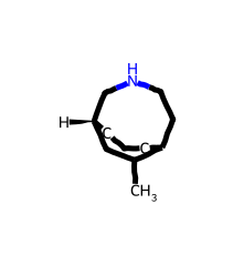 CC1C[C@H]2CCCC1CCNC2